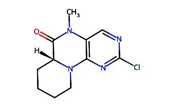 CN1C(=O)[C@H]2CCCCN2c2nc(Cl)ncc21